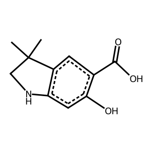 CC1(C)CNc2cc(O)c(C(=O)O)cc21